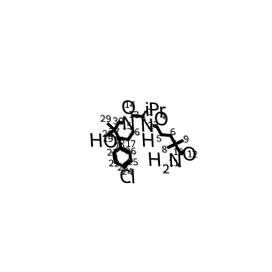 CC(C)[C@@H](NC(=O)CCC(C)(C)C(N)=O)C(=O)N1CC[C@](O)(c2ccc(Cl)cc2)C(C)(C)C1